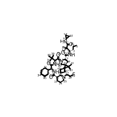 CCC[C@H](NC(=O)[C@@H]1C[C@@]2(CN1C(=O)[C@@H](NC(=O)[C@@H](NC(=O)[C@@H]1CCCN(CCF)C1)C1CCCCC1)C(C)(C)C)C(C)(C)C21CCC1)C(=O)C(=O)NC1CC1